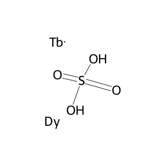 O=S(=O)(O)O.[Dy].[Tb]